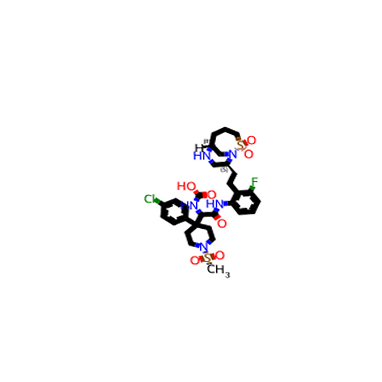 CS(=O)(=O)N1CCC(c2ccc(Cl)cc2)(C(NC(=O)O)C(=O)Nc2cccc(F)c2CC[C@H]2CN[C@@H]3CCCS(=O)(=O)N2C3)CC1